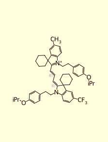 Cc1ccc2c(c1)C1(CCCCC1)C(/C=C/C=C1/N(CCc3ccc(OC(C)C)cc3)c3ccc(C(F)(F)F)cc3C13CCCCC3)=[N+]2CCc1ccc(OC(C)C)cc1